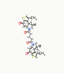 Cc1csc2c1C13C[C@@H]1CN(C(=O)CCCC(=O)N1C[C@H]4CC45C1=CC(=O)c1scc(C)c15)C3=CC2=O